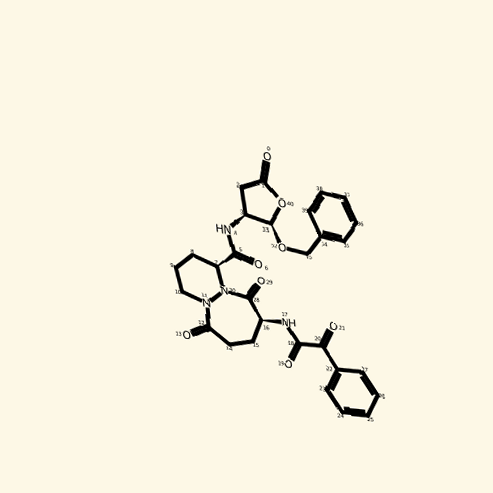 O=C1C[C@H](NC(=O)[C@@H]2CCCN3C(=O)CC[C@H](NC(=O)C(=O)c4ccccc4)C(=O)N23)[C@H](OCc2ccccc2)O1